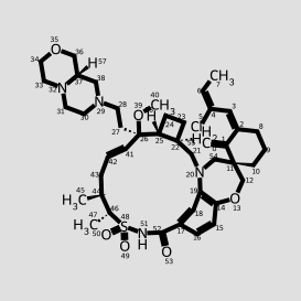 C=C1/C(=C\C(Cl)=C/C)CCC[C@]12COc1ccc3cc1N(C[C@@H]1CC[C@H]1[C@](CCN1CCN4CCOC[C@@H]4C1)(OC)/C=C/C[C@H](C)[C@@H](C)S(=O)(=O)NC3=O)C2